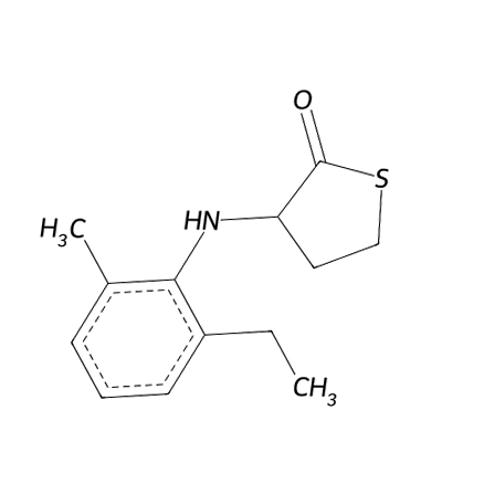 CCc1cccc(C)c1NC1CCSC1=O